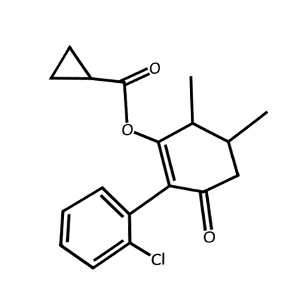 CC1CC(=O)C(c2ccccc2Cl)=C(OC(=O)C2CC2)C1C